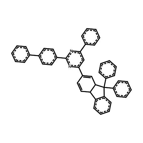 C1=CC2c3ccccc3C(c3ccccc3)(c3ccccc3)C2C=C1c1cc(-c2ccccc2)nc(-c2ccc(-c3ccccc3)cc2)n1